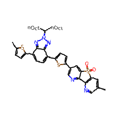 CCCCCCCCC(CCCCCCCC)n1nc2c(-c3ccc(C)s3)ccc(-c3ccc(-c4cnc5c(c4)S(=O)(=O)c4cc(C)cnc4-5)s3)c2n1